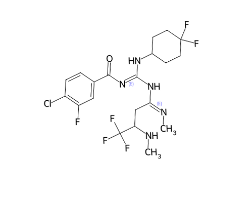 C/N=C(\CC(NC)C(F)(F)F)N/C(=N/C(=O)c1ccc(Cl)c(F)c1)NC1CCC(F)(F)CC1